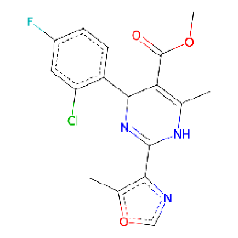 COC(=O)C1=C(C)NC(c2ncoc2C)=NC1c1ccc(F)cc1Cl